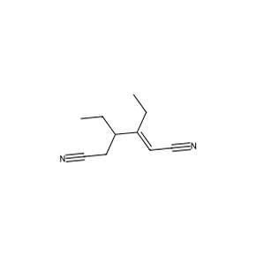 CC/C(=C\C#N)C(CC)CC#N